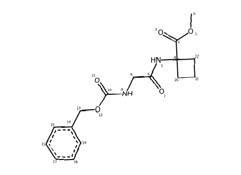 COC(=O)C1(NC(=O)CNC(=O)OCc2ccccc2)CCC1